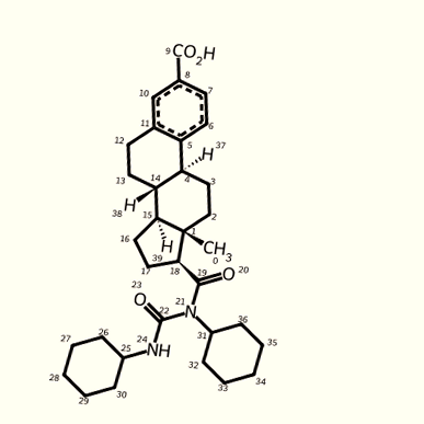 C[C@]12CC[C@@H]3c4ccc(C(=O)O)cc4CC[C@H]3[C@@H]1CC[C@@H]2C(=O)N(C(=O)NC1CCCCC1)C1CCCCC1